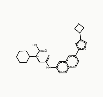 O=C(C[C@H](C(=O)O)C1CCCCC1)Nc1ccc2ccc(-c3nc(C4CCC4)cs3)cc2c1